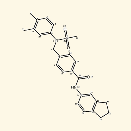 Cc1ccc(N(Cc2ccc(C(=O)Nc3ccc4c(c3)CCC4)cc2)S(C)(=O)=O)cc1C